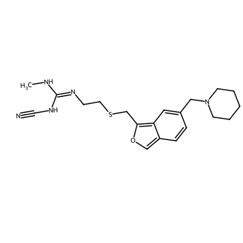 CNC(=NCCSCc1occ2ccc(CN3CCCCC3)cc12)NC#N